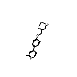 Cc1cc(-c2ccc(OCC3CNCCO3)cc2)ccn1